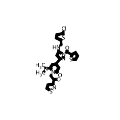 CN(C)c1cc(-c2cc(NCc3ccc(Cl)s3)n(C(=O)c3cccs3)n2)cc(=O)n1CC(=O)c1ccsn1